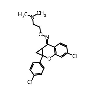 CN(C)CCON=C1c2ccc(Cl)cc2OC2(c3ccc(Cl)cc3)CC12